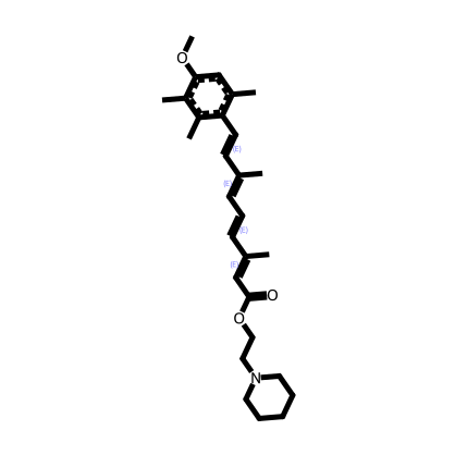 COc1cc(C)c(/C=C/C(C)=C/C=C/C(C)=C/C(=O)OCCN2CCCCC2)c(C)c1C